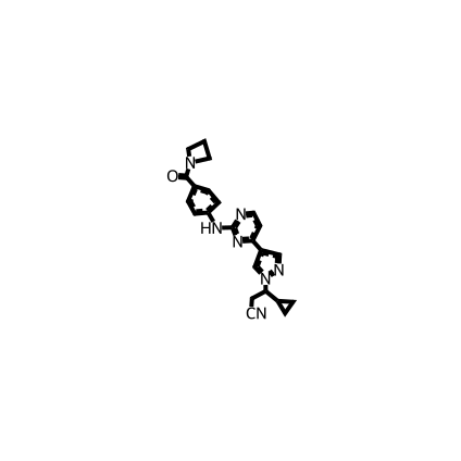 N#CCC(C1CC1)n1cc(-c2ccnc(Nc3ccc(C(=O)N4CCC4)cc3)n2)cn1